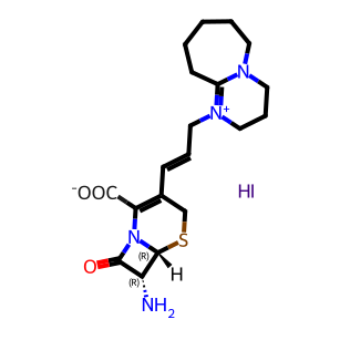 I.N[C@@H]1C(=O)N2C(C(=O)[O-])=C(C=CC[N+]3=C4CCCCCN4CCC3)CS[C@H]12